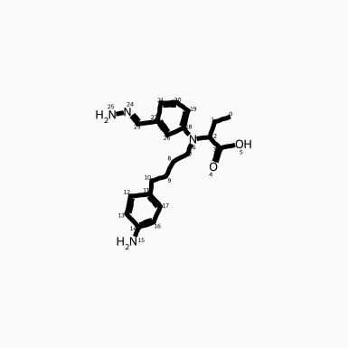 CCC(C(=O)O)N(CCCCc1ccc(N)cc1)c1cccc(C=NN)c1